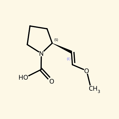 CO/C=C/[C@@H]1CCCN1C(=O)O